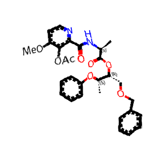 COc1ccnc(C(=O)N[C@@H](C)C(=O)O[C@H](COCc2ccccc2)[C@H](C)Oc2ccccc2)c1OC(C)=O